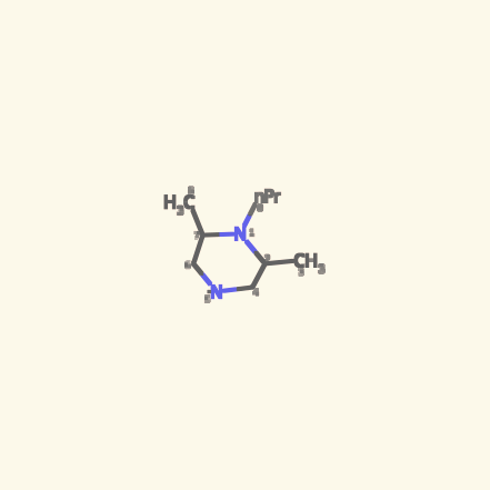 CCCN1C(C)C[N]CC1C